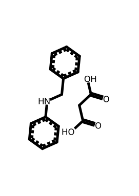 O=C(O)CC(=O)O.c1ccc(CNc2ccccc2)cc1